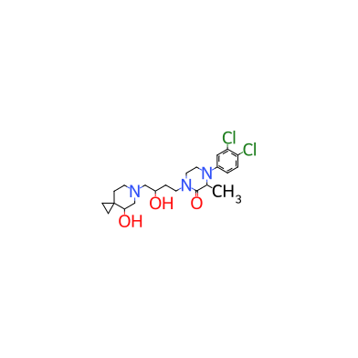 CC1C(=O)N(CCC(O)CN2CCC3(CC3)C(O)C2)CCN1c1ccc(Cl)c(Cl)c1